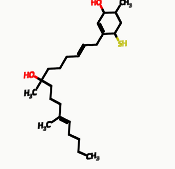 CCCC/C=C(\C)CCCC(C)(O)CCC/C=C/CC1=CC(O)C(C)CC1S